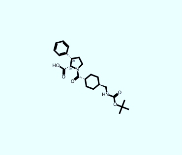 CC(C)(C)OC(=O)NC[C@H]1CC[C@H](C(=O)N2CC[C@@H](c3ccccc3)[C@H]2C(=O)O)CC1